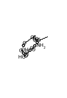 C=CC(=O)OCCCCCCCOc1ccccc1.CCCCCCCCOc1cc(N)c(-c2ccc(C(=O)Oc3ccc(COC(=O)c4cc(C(=O)O)ccc4C(=O)O)cc3)cc2)cc1[N+](=O)[O-]